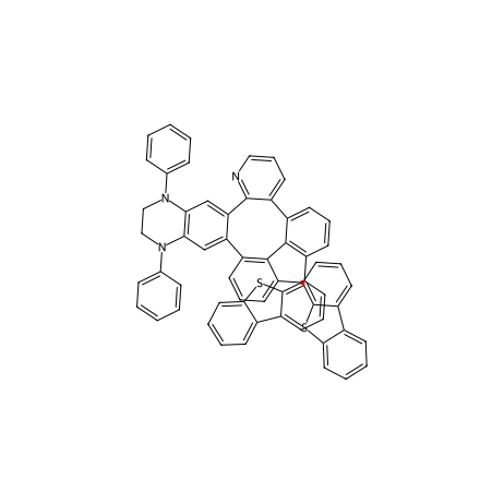 c1ccc(N2CCN(c3ccccc3)c3cc4c(cc32)-c2cccc(-c3cccc5c3sc3ccccc35)c2-c2c(cccc2-c2cccc3c2sc2ccccc23)-c2cccnc2-4)cc1